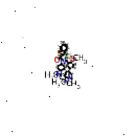 COc1ccc(-c2ccc(N(C)C)nc2)cc1CN(C(=O)c1sc2ccccc2c1Cl)[C@H]1CC[C@H](N(C)C)CC1